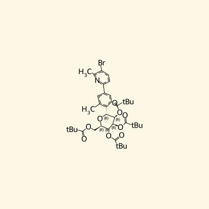 Cc1cc(-c2ccc(Br)c(C)n2)ccc1[C@H]1O[C@H](COC(=O)C(C)(C)C)[C@@H](OC(=O)C(C)(C)C)[C@H](OC(=O)C(C)(C)C)[C@@H]1OC(=O)C(C)(C)C